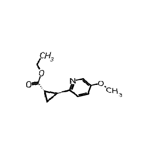 CCOC(=O)[C@H]1C[C@@H]1c1ccc(OC)cn1